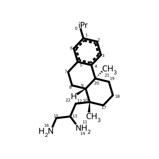 CC(C)c1ccc2c(c1)CC[C@H]1[C@@](C)(CC(N)CN)CCC[C@]21C